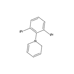 CC(C)c1cccc(C(C)C)c1N1C=CC=CC1